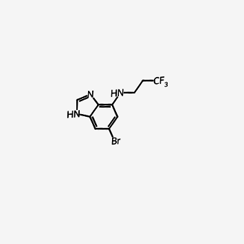 FC(F)(F)CCNc1cc(Br)cc2[nH]cnc12